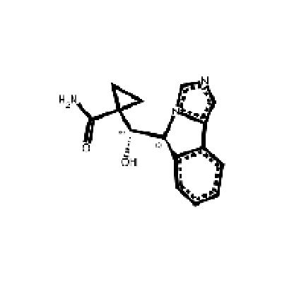 NC(=O)C1([C@@H](O)[C@@H]2c3ccccc3-c3cncn32)CC1